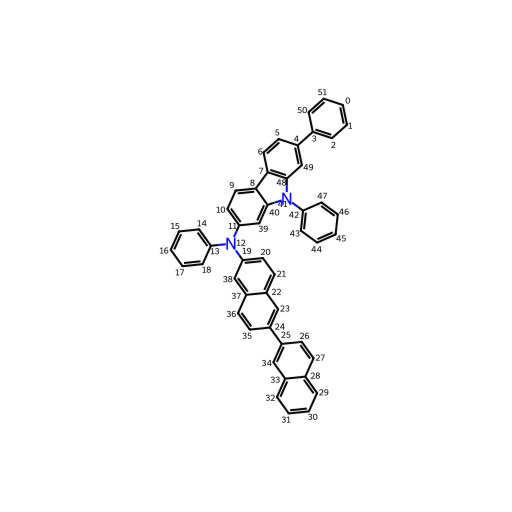 c1ccc(-c2ccc3c4ccc(N(c5ccccc5)c5ccc6cc(-c7ccc8ccccc8c7)ccc6c5)cc4n(-c4ccccc4)c3c2)cc1